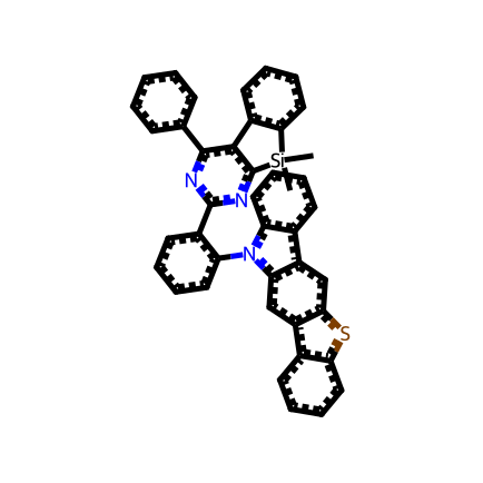 C[Si]1(C)c2ccccc2-c2c(-c3ccccc3)nc(-c3ccccc3-n3c4ccccc4c4cc5sc6ccccc6c5cc43)nc21